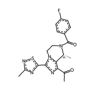 CC(=O)c1nc(-c2nc(C)ns2)n2c1[C@@H](C)N(C(=O)c1ccc(F)cc1)CC2